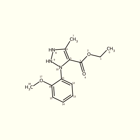 CCOC(=O)C1=C(C)NNN1c1ccccc1OC